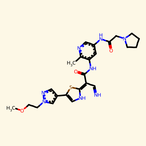 COCCn1cc(C2=CN/C(=C(\C=N)C(=O)Nc3cc(NC(=O)CN4CCCC4)cnc3C)S2)cn1